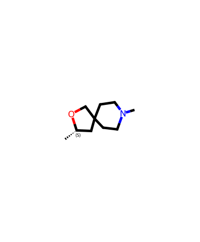 C[C@H]1CC2(CCN(C)CC2)CO1